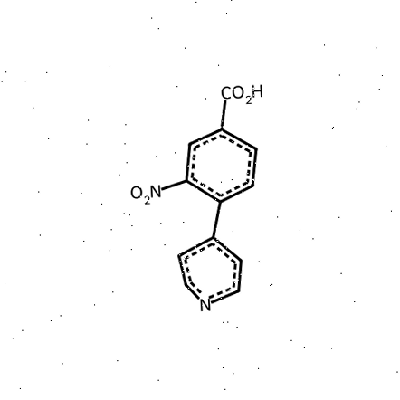 O=C(O)c1ccc(-c2ccncc2)c([N+](=O)[O-])c1